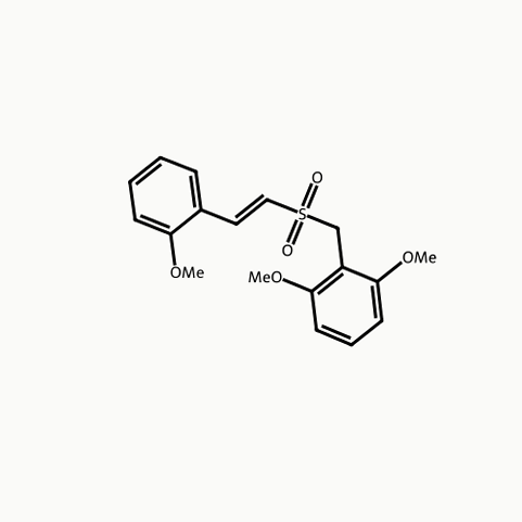 COc1ccccc1C=CS(=O)(=O)Cc1c(OC)cccc1OC